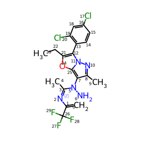 C=C(/N=C(/C)N(N)c1c(C)nn2c(-c3ccc(Cl)cc3Cl)c(CC)oc12)C(F)(F)F